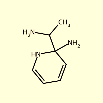 CC(N)C1(N)C=CC=CN1